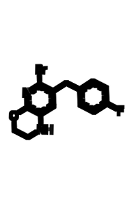 Fc1ccc(Cc2cc3c(nc2Br)OCCN3)cc1